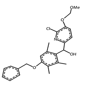 COCOc1ccc(C(O)c2c(C)cc(OCc3ccccc3)c(C)c2C)nc1Cl